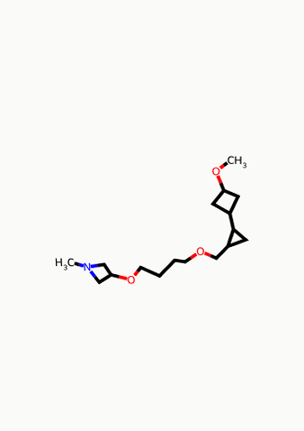 COC1CC(C2CC2COCCCCOC2CN(C)C2)C1